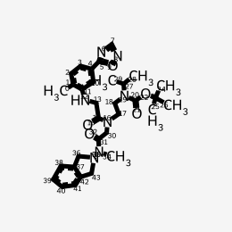 Cc1ccc(-c2ncno2)cc1NCC(=O)N(CCN(C(=O)OC(C)(C)C)C(C)C)CC(=O)N(C)N1Cc2ccccc2C1